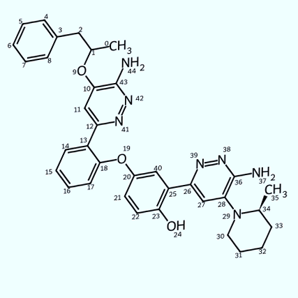 CC(Cc1ccccc1)Oc1cc(-c2ccccc2Oc2ccc(O)c(-c3cc(N4CCCC[C@@H]4C)c(N)nn3)c2)nnc1N